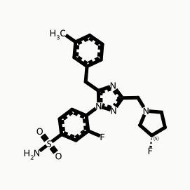 Cc1cccc(Cc2nc(CN3CC[C@H](F)C3)nn2-c2ccc(S(N)(=O)=O)cc2F)c1